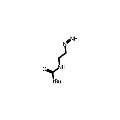 CC(C)(C)C(=O)NCCN=N